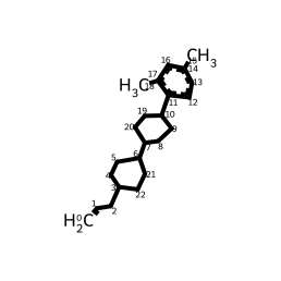 C=CCC1CCC(C2CCC(c3ccc(C)cc3C)CC2)CC1